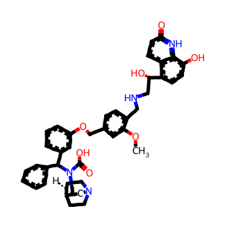 COc1cc(COc2cccc(C(c3ccccc3)N(C(=O)O)[C@H]3CN4CCC3CC4)c2)ccc1CNC[C@@H](O)c1ccc(O)c2[nH]c(=O)ccc12